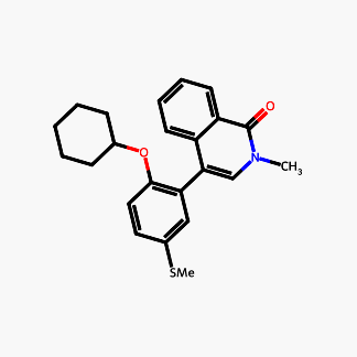 CSc1ccc(OC2CCCCC2)c(-c2cn(C)c(=O)c3ccccc23)c1